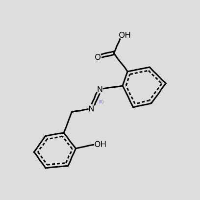 O=C(O)c1ccccc1/N=N/Cc1ccccc1O